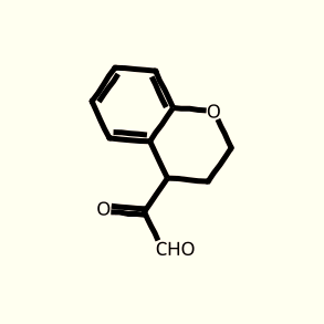 O=CC(=O)C1CCOc2ccccc21